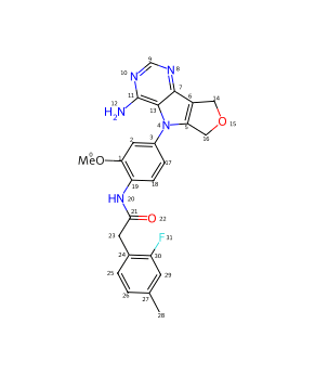 COc1cc(-n2c3c(c4ncnc(N)c42)COC3)ccc1NC(=O)Cc1ccc(C)cc1F